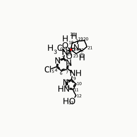 CN(c1nc(Cl)cc(Nc2cc(CO)[nH]n2)n1)[C@H]1C[C@H]2CC[C@@H](C1)N2C(=O)O